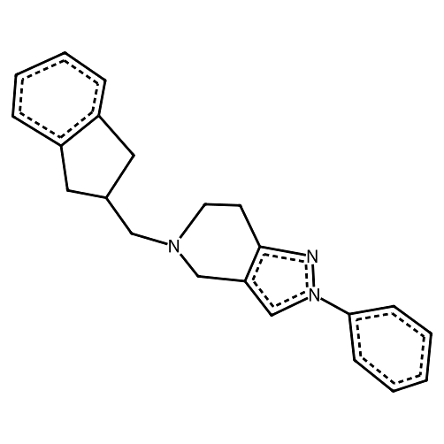 c1ccc(-n2cc3c(n2)CCN(CC2Cc4ccccc4C2)C3)cc1